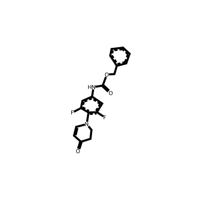 O=C1C=CN(c2c(F)cc(NC(=O)OCc3ccccc3)cc2F)CC1